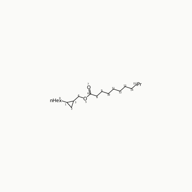 CCCCCCC1CC1COC(=O)CCCCCCCC(C)C